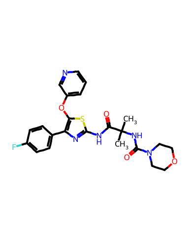 CC(C)(NC(=O)N1CCOCC1)C(=O)Nc1nc(-c2ccc(F)cc2)c(Oc2cccnc2)s1